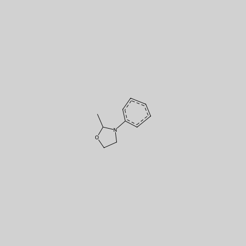 CC1OCCN1c1ccccc1